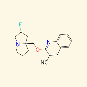 N#Cc1cc2ccccc2nc1OC[C@@]12CCCN1C[C@H](F)C2